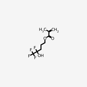 C=C(C)C(=O)OCCCC(O)(F)C(F)(F)F